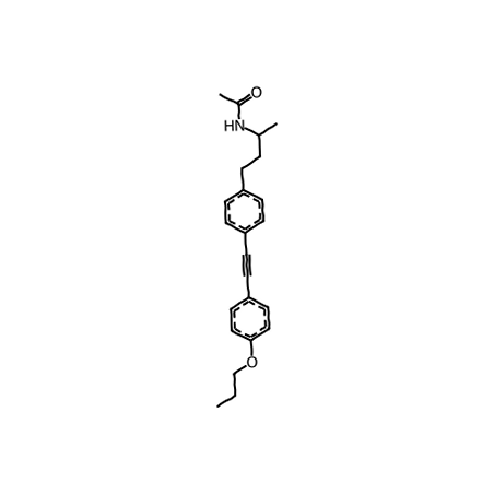 CCCOc1ccc(C#Cc2ccc(CCC(C)NC(C)=O)cc2)cc1